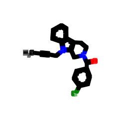 CC#CCn1c2c(c3ccccc31)CCN(C(=O)c1ccc(Cl)cc1)C2